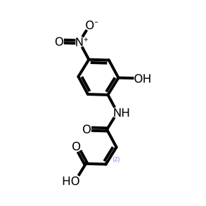 O=C(O)/C=C\C(=O)Nc1ccc([N+](=O)[O-])cc1O